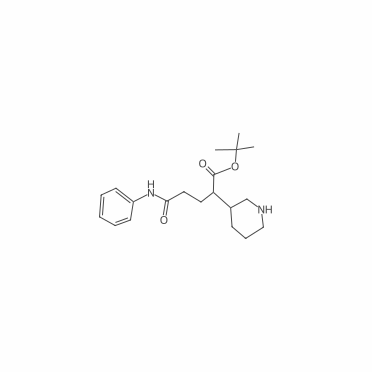 CC(C)(C)OC(=O)C(CCC(=O)Nc1ccccc1)C1CCCNC1